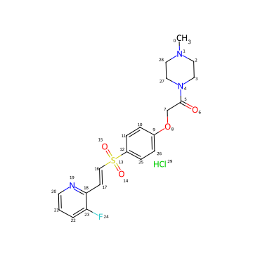 CN1CCN(C(=O)COc2ccc(S(=O)(=O)C=Cc3ncccc3F)cc2)CC1.Cl